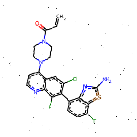 C=CC(=O)N1CCN(c2ccnc3c(F)c(-c4ccc(F)c5sc(N)nc45)c(Cl)cc23)CC1